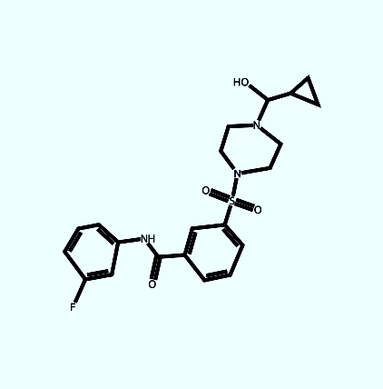 O=C(Nc1cccc(F)c1)c1cccc(S(=O)(=O)N2CCN(C(O)C3CC3)CC2)c1